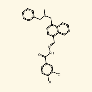 CN(Cc1ccccc1)Cc1ccc(/C=N/NC(=O)c2ccc(O)c(Cl)c2)c2ccccc12